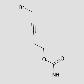 NC(=O)OCCC#CCBr